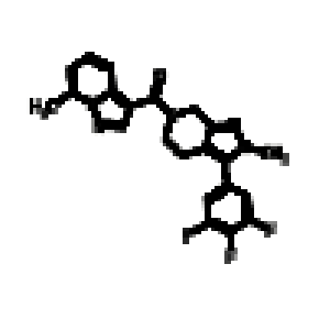 Cc1cccc2c(C(=O)N3CCc4c(nn(C)c4-c4cc(F)c(F)c(F)c4)C3)cnn12